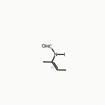 C/C=C(/C)N(I)C=O